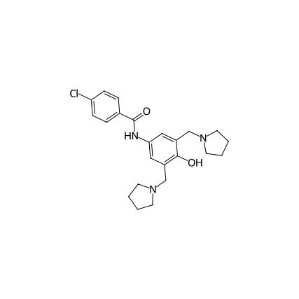 O=C(Nc1cc(CN2CCCC2)c(O)c(CN2CCCC2)c1)c1ccc(Cl)cc1